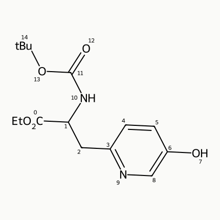 CCOC(=O)C(Cc1ccc(O)cn1)NC(=O)OC(C)(C)C